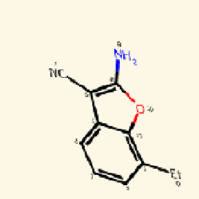 CCc1cccc2c(C#N)c(N)oc12